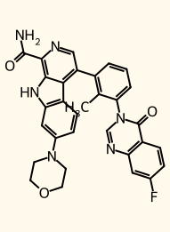 Cc1c(-c2cnc(C(N)=O)c3[nH]c4cc(N5CCOCC5)ccc4c23)cccc1-n1cnc2cc(F)ccc2c1=O